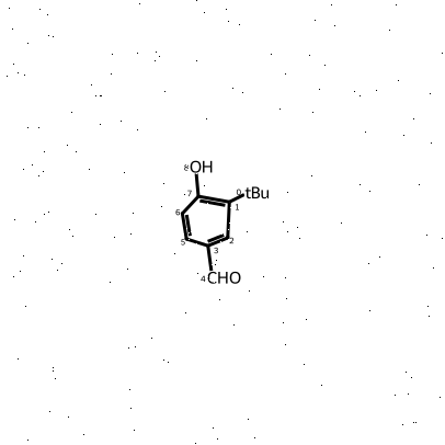 CC(C)(C)c1cc(C=O)ccc1O